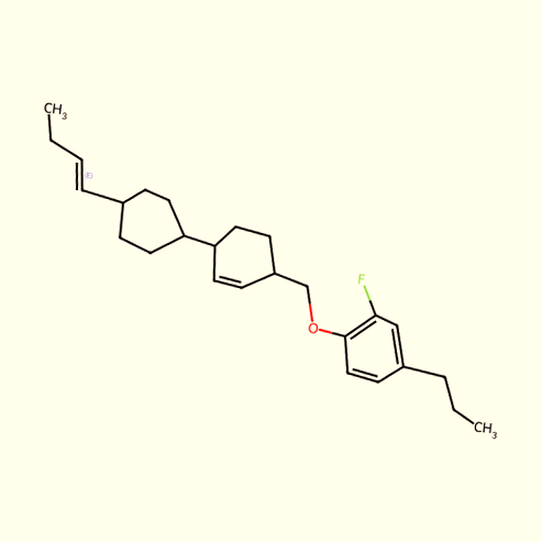 CC/C=C/C1CCC(C2C=CC(COc3ccc(CCC)cc3F)CC2)CC1